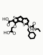 CCNC(=O)N(CC1CCCCC1)c1ccc2cc3sc(C(=O)O)c(OCC(=O)O)c3c-2s1